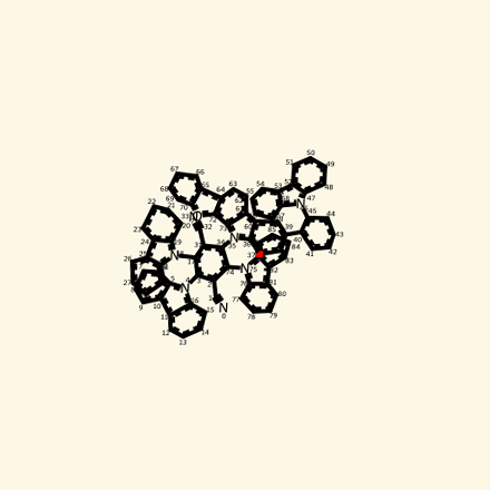 N#Cc1c(-n2c3ccccc3c3ccccc32)c(-n2c3ccccc3c3ccccc32)c(C#N)c(-n2c3ccc(-c4ccccc4-n4c5ccccc5c5ccccc54)cc3c3ccc4c5ccccc5oc4c32)c1-n1c2ccccc2c2ccccc21